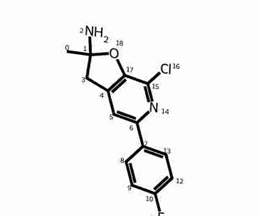 CC1(N)Cc2cc(-c3ccc(F)cc3)nc(Cl)c2O1